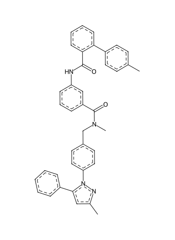 Cc1ccc(-c2ccccc2C(=O)Nc2cccc(C(=O)N(C)Cc3ccc(-n4nc(C)cc4-c4ccccc4)cc3)c2)cc1